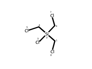 ClC[Si](Cl)(CCl)CCl